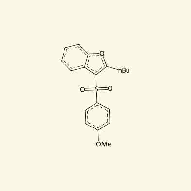 CCCCc1oc2ccccc2c1S(=O)(=O)c1ccc(OC)cc1